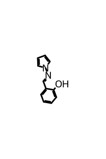 Oc1ccccc1/C=N/n1cccc1